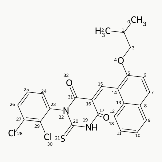 CC(C)COc1ccc2ccccc2c1/C=C1\C(=O)NC(=S)N(c2cccc(Cl)c2Cl)C1=O